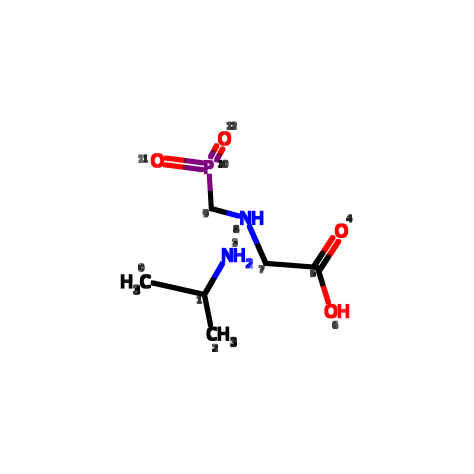 CC(C)N.O=C(O)CNCP(=O)=O